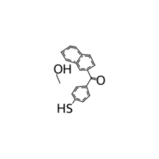 CCO.O=C(c1ccc(S)cc1)c1ccc2ccccc2c1